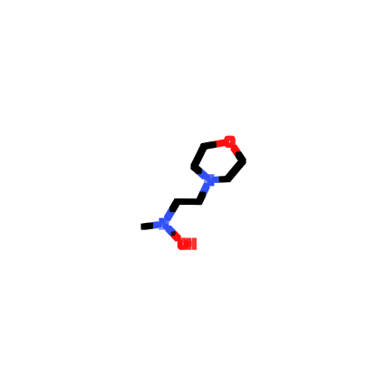 CN(O)CCN1CCOCC1